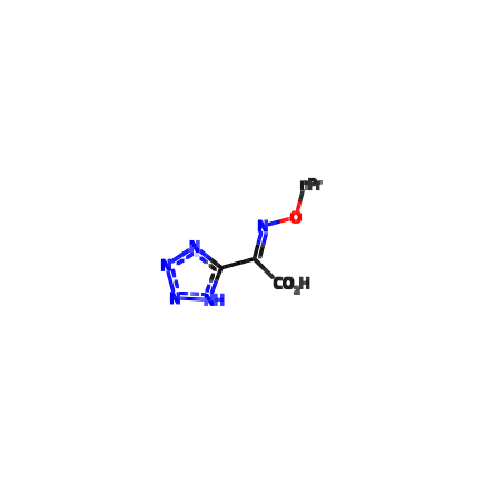 CCCON=C(C(=O)O)c1nnn[nH]1